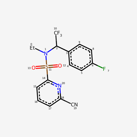 CCN(C(c1ccc(F)cc1)C(F)(F)F)S(=O)(=O)c1cccc(C#N)n1